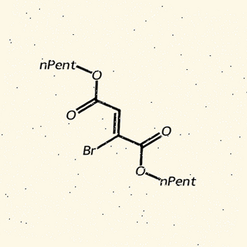 CCCCCOC(=O)/C=C(\Br)C(=O)OCCCCC